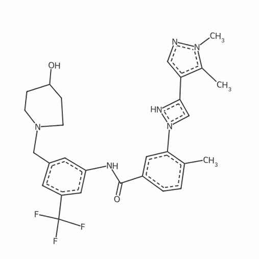 Cc1ccc(C(=O)Nc2cc(CN3CCC(O)CC3)cc(C(F)(F)F)c2)cc1-n1cc(-c2cnn(C)c2C)[nH]1